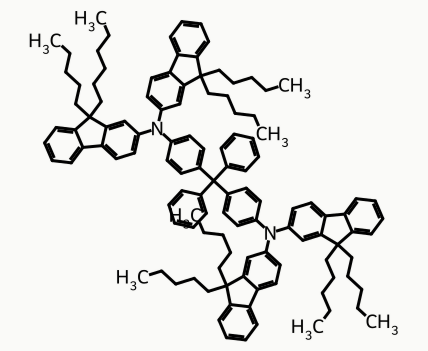 CCCCCCC1(CCCCC)c2ccccc2-c2ccc(N(c3ccc(C(c4ccccc4)(c4ccccc4)c4ccc(N(c5ccc6c(c5)C(CCCCC)(CCCCC)c5ccccc5-6)c5ccc6c(c5)C(CCCCC)(CCCCC)c5ccccc5-6)cc4)cc3)c3ccc4c(c3)C(CCCCC)(CCCCC)c3ccccc3-4)cc21